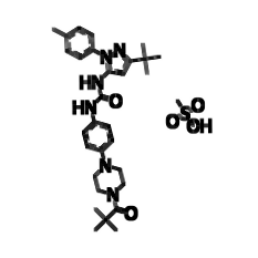 CS(=O)(=O)O.Cc1ccc(-n2nc(C(C)(C)C)cc2NC(=O)Nc2ccc(N3CCN(C(=O)C(C)(C)C)CC3)cc2)cc1